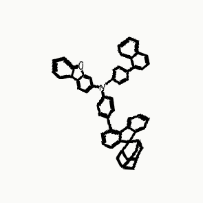 c1ccc2c(c1)-c1c(-c3ccc(N(c4ccc(-c5cccc6ccccc56)cc4)c4ccc5c(c4)oc4ccccc45)cc3)cccc1C21C2CC3CC(C2)CC1C3